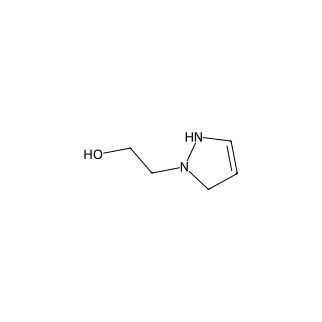 OCCN1CC=CN1